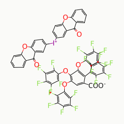 O=C([O-])c1cc(Oc2c(F)c(F)c(F)c(F)c2F)c(Oc2c(F)c(F)c(F)c(F)c2F)c(Oc2c(F)c(F)c(F)c(F)c2F)c1-c1c(F)c(F)c(F)c(F)c1F.O=c1c2ccccc2oc2ccc([I+]c3ccc4oc5ccccc5c(=O)c4c3)cc12